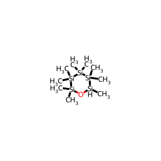 C[SiH]1O[Si](C)(C)[Si](C)(C)[Si](C)(C)[Si]1(C)C